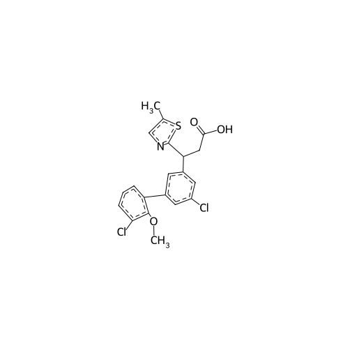 COc1c(Cl)cccc1-c1cc(Cl)cc(C(CC(=O)O)c2ncc(C)s2)c1